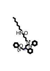 CCCCCCCCNC(=O)CCCN(C)C1=C/C(=C\c2oc3ccccc3[n+]2C)c2ccccc2N1c1ccccc1